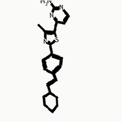 Cc1nc(-c2ccc(C=CC3CCCCC3)cc2)sc1-c1ccnc(N)n1